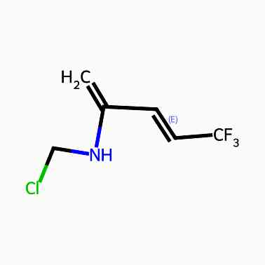 C=C(/C=C/C(F)(F)F)NCCl